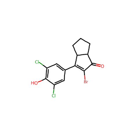 O=C1C(Br)=C(c2cc(Cl)c(O)c(Cl)c2)C2CCCC12